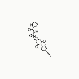 CC#Cc1cc(C)c(C2C(=O)CC3(CC2=O)CN(C(=O)NC(=O)c2ccccn2)C3)c(C)c1